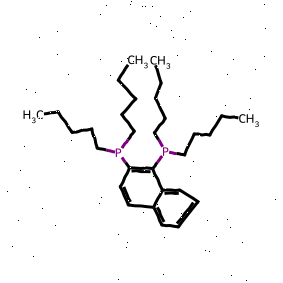 CCCCCP(CCCCC)c1ccc2ccccc2c1P(CCCCC)CCCCC